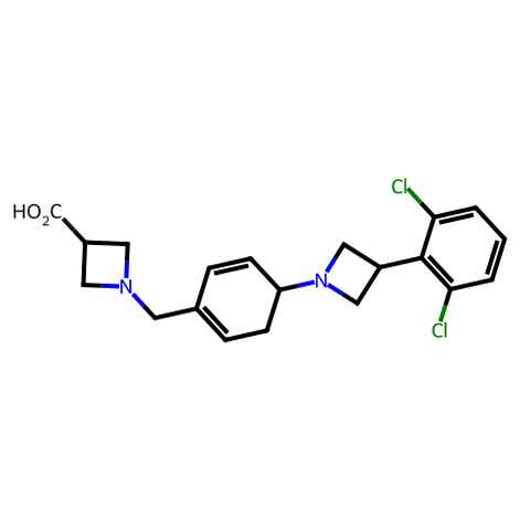 O=C(O)C1CN(CC2=CCC(N3CC(c4c(Cl)cccc4Cl)C3)C=C2)C1